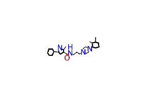 Cc1cccc(N2CCN(CCCNC(=O)c3cc(-c4ccccc4)n(C)c3C)CC2)c1C